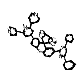 c1ccc(-c2cc(-c3ccccc3)nc(-c3ccc4c(c3)C3(c5cc(-c6cc(-c7ccncc7)nc(-c7ccncc7)c6)ccc5S4)c4ccccc4-c4ccccc43)n2)cc1